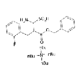 CCCC[N+](CCCC)(CCCC)CCCC.NC(C(Cc1ccccc1F)C(=O)OCc1ccccc1)S(=O)(=O)O